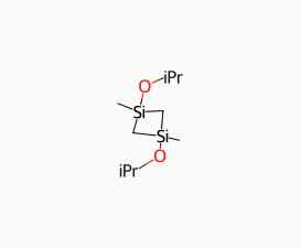 CC(C)O[Si]1(C)C[Si](C)(OC(C)C)C1